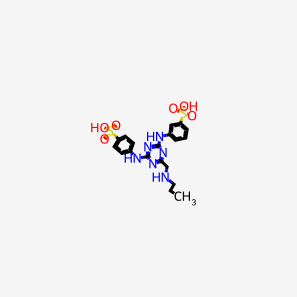 CCCNCc1nc(Nc2ccc(S(=O)(=O)O)cc2)nc(Nc2cccc(S(=O)(=O)O)c2)n1